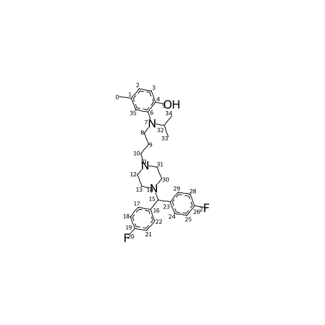 Cc1ccc(O)c(N(CCCN2CCN(C(c3ccc(F)cc3)c3ccc(F)cc3)CC2)C(C)C)c1